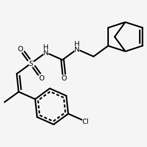 CC(=CS(=O)(=O)NC(=O)NCC1CC2C=CC1C2)c1ccc(Cl)cc1